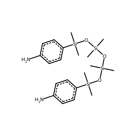 C[Si](C)(O[Si](C)(C)O[Si](C)(C)c1ccc(N)cc1)O[Si](C)(C)c1ccc(N)cc1